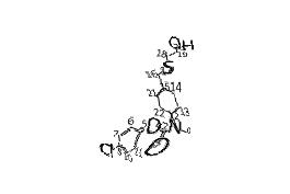 CN(C(=O)Oc1ccc(Cl)cc1)C1CCC(CSCCO)CC1